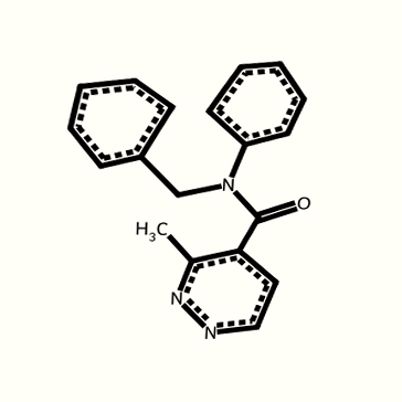 Cc1nnccc1C(=O)N(Cc1ccccc1)c1ccccc1